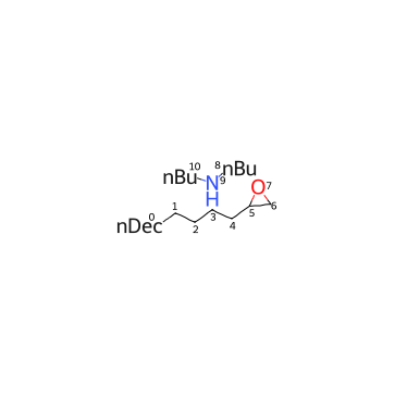 CCCCCCCCCCCCCCC1CO1.CCCCNCCCC